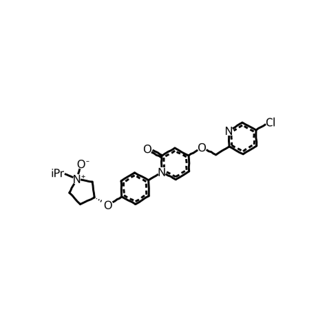 CC(C)[N+]1([O-])CC[C@@H](Oc2ccc(-n3ccc(OCc4ccc(Cl)cn4)cc3=O)cc2)C1